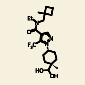 CCN(CC1(C)CCC1)C(=O)c1cnn([C@H]2CC[C@](C)(C(O)O)CC2)c1C(F)(F)F